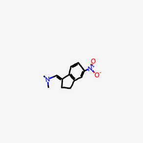 CN(C)C=C1CCc2cc([N+](=O)[O-])ccc21